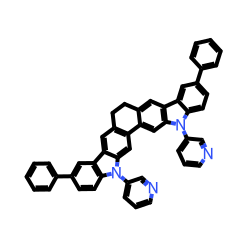 c1ccc(-c2ccc3c(c2)c2cc4c(cc2n3-c2cccnc2)-c2cc3c(cc2CC4)c2cc(-c4ccccc4)ccc2n3-c2cccnc2)cc1